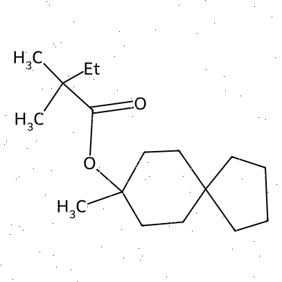 CCC(C)(C)C(=O)OC1(C)CCC2(CCCC2)CC1